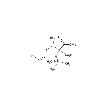 CCC=C(C)CC(CCCC)C(O[SiH](C)C)(C(=O)O)C(=O)OC